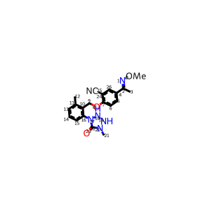 CON=C(C)c1ccc(OCc2c(C)cccc2N2NNN(C)C2=O)c(C#N)c1